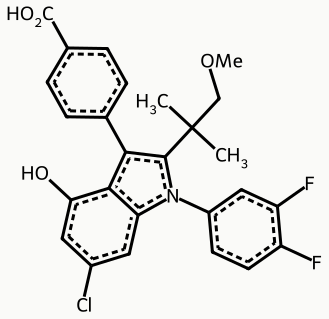 COCC(C)(C)c1c(-c2ccc(C(=O)O)cc2)c2c(O)cc(Cl)cc2n1-c1ccc(F)c(F)c1